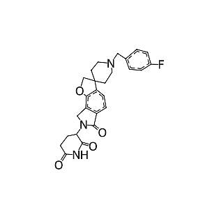 O=C1CCC(N2Cc3c(ccc4c3OCC43CCN(Cc4ccc(F)cc4)CC3)C2=O)C(=O)N1